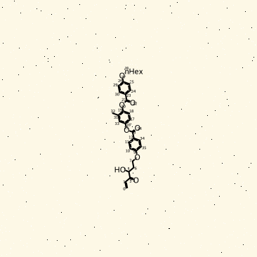 C=CC(=O)C(O)CCOc1ccc(C(=O)Oc2ccc(OC(=O)c3ccc(OCCCCCC)cc3)c(C)c2)cc1